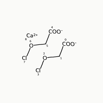 O=C([O-])COCl.O=C([O-])COCl.[Ca+2]